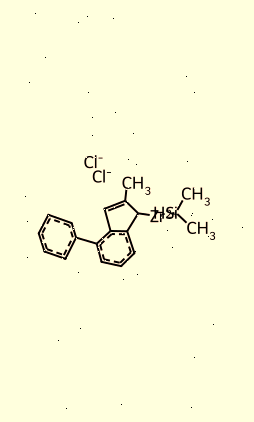 CC1=Cc2c(-c3ccccc3)cccc2[CH]1[Zr+2][SiH](C)C.[Cl-].[Cl-]